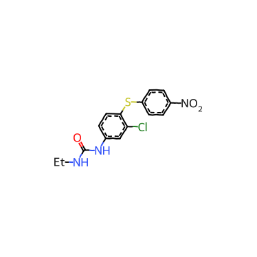 CCNC(=O)Nc1ccc(Sc2ccc([N+](=O)[O-])cc2)c(Cl)c1